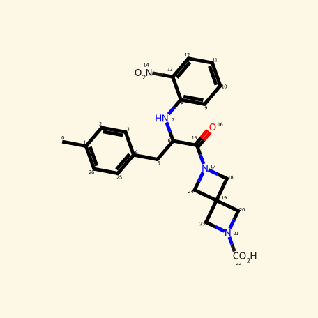 Cc1ccc(CC(Nc2ccccc2[N+](=O)[O-])C(=O)N2CC3(CN(C(=O)O)C3)C2)cc1